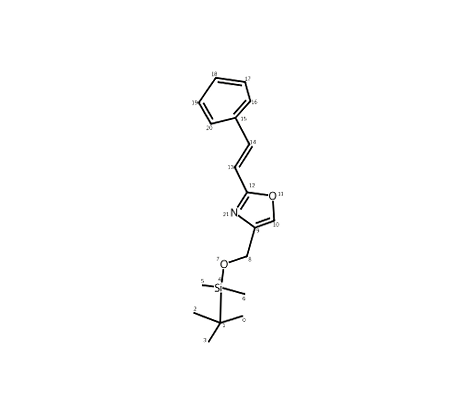 CC(C)(C)[Si](C)(C)OCc1coc(/C=C/c2ccccc2)n1